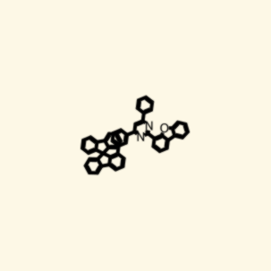 c1ccc(-c2cc(-c3cccc(-c4cccc5c4C4(c6ccccc6-c6ccccc64)c4ccccc4-5)c3)nc(-c3cccc4c3oc3ccccc34)n2)cc1